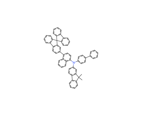 CC1(C)c2ccccc2-c2ccc(N(c3ccc(-c4ccccc4)cc3)c3ccc(-c4ccc5c(c4)C4(c6ccccc6-c6ccccc64)c4ccccc4-5)c4ccccc34)cc21